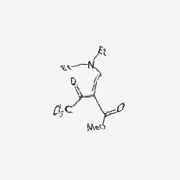 CCN(C=C(C(=O)OC)C(=O)C(Cl)(Cl)Cl)CC